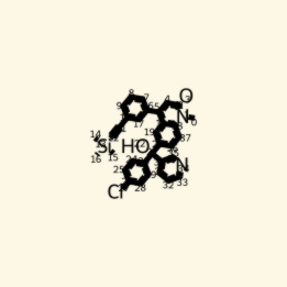 Cn1c(=O)cc(-c2cccc(C#C[Si](C)(C)C)c2)c2cc(C(O)(c3ccc(Cl)cc3)c3cccnc3)ccc21